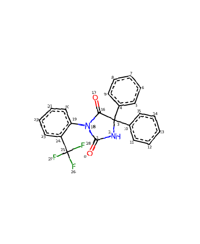 O=C1NC(c2ccccc2)(c2ccccc2)C(=O)N1c1ccccc1C(F)(F)F